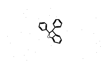 c1ccc(C2Oc3ccccc3C2c2ccccc2)cc1